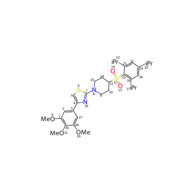 COc1cc(-c2csc(N3CCC(S(=O)(=O)c4c(C(C)C)cc(C(C)C)cc4C(C)C)CC3)n2)cc(OC)c1OC